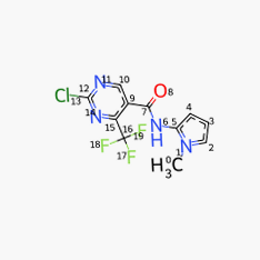 Cn1cccc1NC(=O)c1cnc(Cl)nc1C(F)(F)F